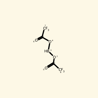 O=C(OBOC(=O)C(F)(F)F)C(F)(F)F